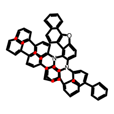 c1ccc(-c2ccc(-c3ccccc3N(c3ccc(-c4ccccc4)cc3)c3c(N(c4ccc(-c5ccccc5)cc4)c4ccccc4-c4ccccc4)ccc4oc5c6ccccc6ccc5c34)cc2)cc1